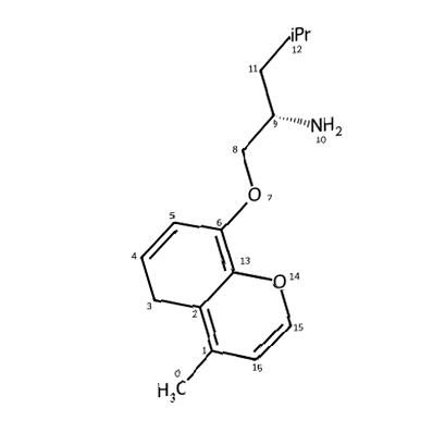 CC1=C2CC=CC(OC[C@@H](N)CC(C)C)=C2OC=C1